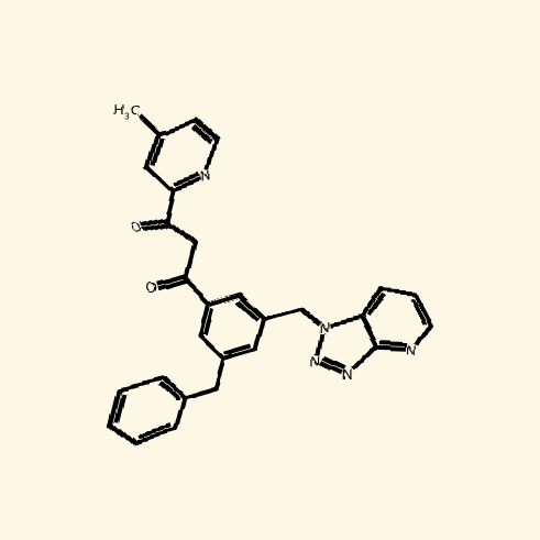 Cc1ccnc(C(=O)CC(=O)c2cc(Cc3ccccc3)cc(Cn3nnc4ncccc43)c2)c1